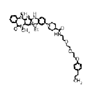 C=CCc1ccc(OCCOCCOCCNC(=O)C2CCN(c3ccc(Nc4ncc5c(n4)N(C)c4ccccc4C(=O)N5C)c(OCC)c3)CC2)cc1